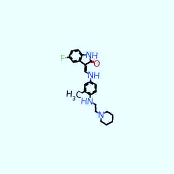 Cc1cc(NC=C2C(=O)Nc3ccc(F)cc32)ccc1NCCN1CCCCC1